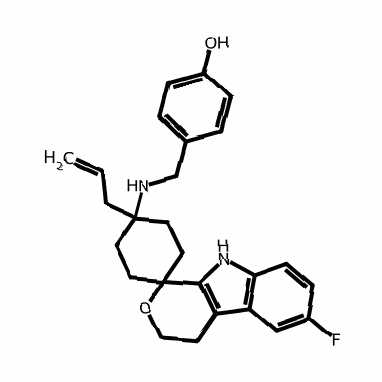 C=CCC1(NCc2ccc(O)cc2)CCC2(CC1)OCCc1c2[nH]c2ccc(F)cc12